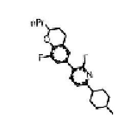 CCCC1CCc2cc(-c3ccc(C4CCC(C)CC4)nc3F)cc(F)c2O1